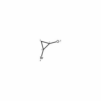 [O]C1CC1Br